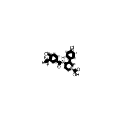 O=C(NC1CCN(C(=O)O)CC1c1ccc(Cl)cc1)c1ccc(Cl)c(C(F)(F)F)c1